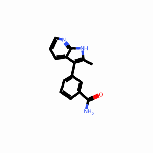 Cc1[nH]c2ncccc2c1-c1cccc(C(N)=O)c1